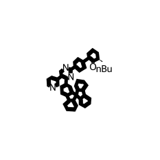 CCCCOC1=C(c2ccc(-c3ncc(-c4cccnc4)c(-c4ccc5c(c4)C4(c6ccccc6-c6ccccc64)c4ccccc4-5)n3)cc2)C=CC[C@@H]1C